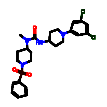 CN(C(=O)NC1CCN(c2cc(Cl)cc(Cl)c2)CC1)C1CCN(S(=O)(=O)c2ccccc2)CC1